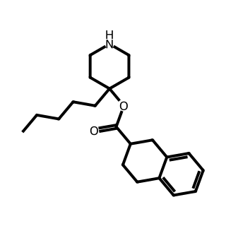 CCCCCC1(OC(=O)C2CCc3ccccc3C2)CCNCC1